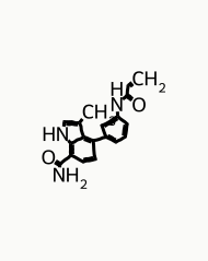 C=CC(=O)Nc1cccc(-c2ccc(C(N)=O)c3[nH]cc(C)c23)c1